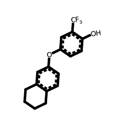 Oc1ccc(Oc2ccc3c(c2)CCCC3)cc1C(F)(F)F